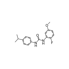 COc1ccc(F)c(NC(=O)Nc2ccc(C(C)C)cc2)c1